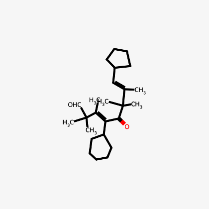 CC(=CC1CCCC1)C(C)(C)C(=O)C(=C(C)C(C)(C)C=O)C1CCCCC1